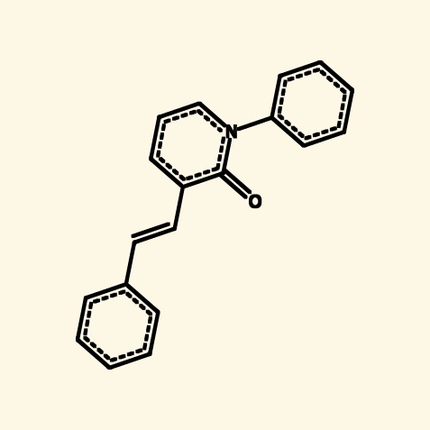 O=c1c(/C=C/c2ccccc2)cccn1-c1ccccc1